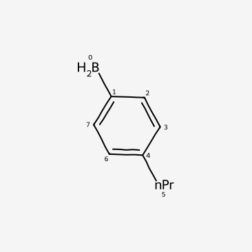 Bc1ccc(C[CH]C)cc1